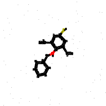 COc1cc([S])cc(OC)c1OCc1ccccc1